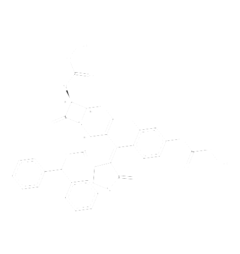 CC(C)(C)OC(=O)N[C@@H]1C(=O)N2[C@@H](C(=O)OC(c3ccccc3)c3ccccc3)C(C(=C3CCNC3=O)c3ccc(OC(=O)OC(C)(C)C)cc3F)=CS[C@H]12